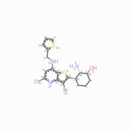 N[C@@H]1[C@@H](O)CCC[C@H]1c1sc2c(NCc3cccs3)cc(Cl)nc2c1Br